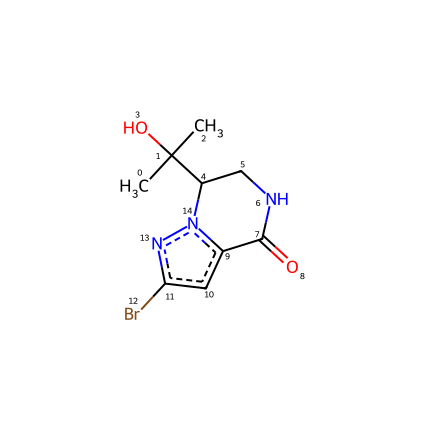 CC(C)(O)C1CNC(=O)c2cc(Br)nn21